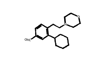 O=Cc1ccc(CCN2CCOCC2)c(C2CCCCC2)c1